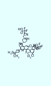 Cc1c(Cl)cc2[nH]ncc2c1-c1c(Cl)cc2c(nc(N3CC(N(C)C)C3)c3cnn([C@H]4CCN[C@H](CC#N)C4)c32)c1F.O=C(O)C(F)(F)F.O=C(O)C(F)(F)F